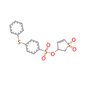 O=S1(=O)C=CC(OS(=O)(=O)c2ccc(Sc3ccccc3)cc2)C1